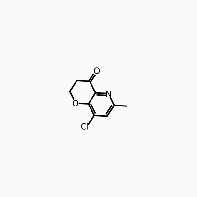 Cc1cc(Cl)c2c(n1)C(=O)CCO2